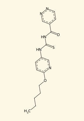 CCCCCOc1ccc(NC(=S)NC(=O)c2ccnnc2)cn1